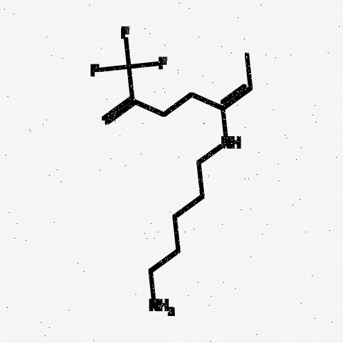 C=C(CC/C(=C\C)NCCCCCN)C(F)(F)F